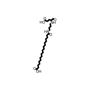 O=CC(CCC(=O)O)NCCCCNC(=O)CCCCCCCCCCCCCCCCCCC(=O)O